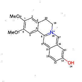 COc1cc2c(cc1OC)-c1cc3ccc(O)cc3c[n+]1CC2